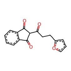 O=C(CCc1ccco1)C1C(=O)c2ccccc2C1=O